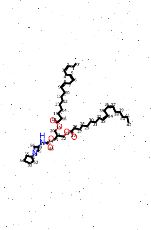 CC/C=C\C/C=C\C/C=C\CCCCCCCC(=O)OCC(COC(=O)CCCCCCC/C=C\C/C=C\CCCCC)COC(=O)NC1CN(C2CCCC2)C1